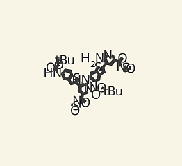 CC(C)(C)OC(=O)Nc1ccc2sc(-c3cc(C(=O)N=S(C)(C)=O)cnc3Nc3cc4sc(-c5cc(C(=O)N=S(C)(C)=O)cnc5N)cc4cc3NC(=O)OC(C)(C)C)cc2c1